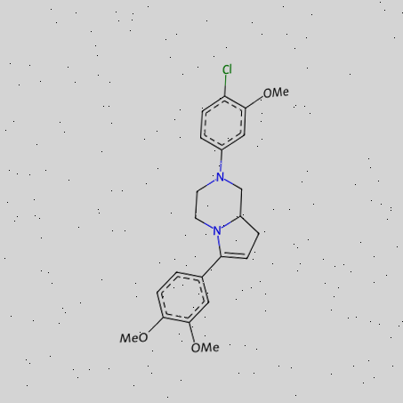 COc1cc(N2CCN3C(c4ccc(OC)c(OC)c4)=CCC3C2)ccc1Cl